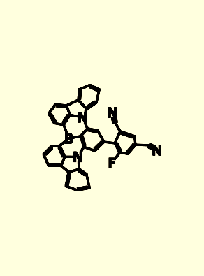 N#Cc1cc(F)c(-c2cc3c4c(c2)-n2c5ccccc5c5cccc(c52)B4c2cccc4c5ccccc5n-3c24)c(C#N)c1